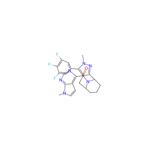 Cn1nc2c(c1-c1cc(F)c(F)c(F)c1)CC1CCCC2N1C(=O)c1ncnc2c1ccn2C